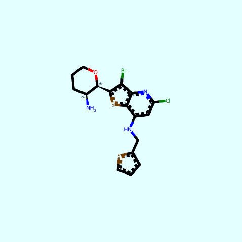 N[C@H]1CCCO[C@H]1c1sc2c(NCc3cccs3)cc(Cl)nc2c1Br